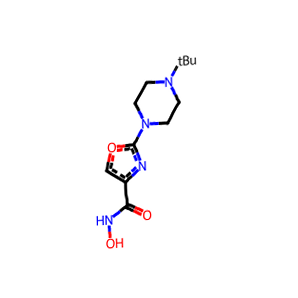 CC(C)(C)N1CCN(c2nc(C(=O)NO)co2)CC1